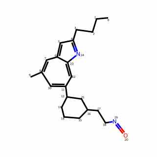 CCCCc1cc2cc(C)cc(C3CCCC(CCN=O)C3)cc-2n1